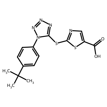 CC(C)(C)c1ccc(-n2nnnc2Sc2ncc(C(=O)O)s2)cc1